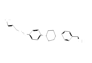 C=Cc1ccc([C@H]2CC[C@H](c3ccc(COCC=CC)cc3)CC2)cc1